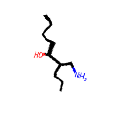 CCCCC(O)C(CN)CCC